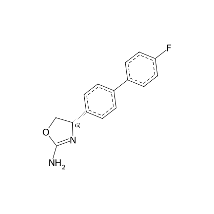 NC1=N[C@@H](c2ccc(-c3ccc(F)cc3)cc2)CO1